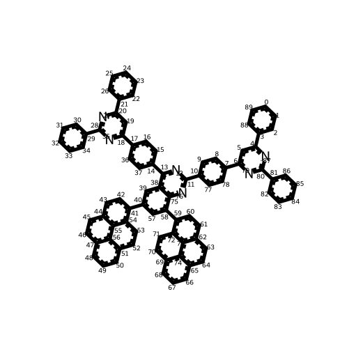 c1ccc(-c2cc(-c3ccc(-c4nc(-c5ccc(-c6cc(-c7ccccc7)nc(-c7ccccc7)n6)cc5)c5cc(-c6ccc7ccc8cccc9ccc6c7c89)cc(-c6ccc7ccc8cccc9ccc6c7c89)c5n4)cc3)nc(-c3ccccc3)n2)cc1